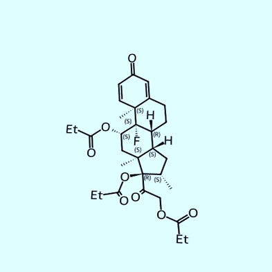 CCC(=O)OCC(=O)[C@@]1(OC(=O)CC)[C@@H](C)C[C@H]2[C@H]3CCC4=CC(=O)C=C[C@]4(C)[C@]3(F)[C@@H](OC(=O)CC)C[C@@]21C